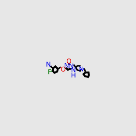 N#Cc1cc(COc2cc3n(c(=O)n2)CC2(CCN(Cc4ccccc4)CC2)N3)ccc1F